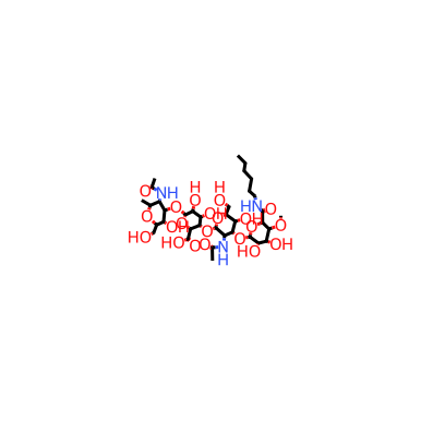 CCCCCCNC(=O)C1OC(OC2C(O)C(CO)OC(OC3C(C(=O)O)OC(OC4C(O)C(CO)OC(C)C4NC(C)=O)C(O)C3O)C2NC(C)=O)C(O)C(O)C1OC